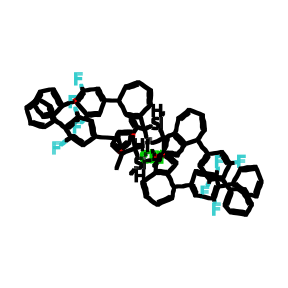 CC1=CC2=C(C=CC=CC2c2cc(F)c(-c3ccccc3)c(F)c2)[C]12[SiH](C)[C]1(C(C)=CC3=C1C=CC=CC3c1cc(F)c(-c3ccccc3)c(F)c1)[Hf]21([Cl])([Cl])[C]2(C(C)=CC3=C2C=CC=CC3c2cc(F)c(-c3ccccc3)c(F)c2)[SiH](C)[C]12C(C)=CC1=C2C=CC=CC1c1cc(F)c(-c2ccccc2)c(F)c1